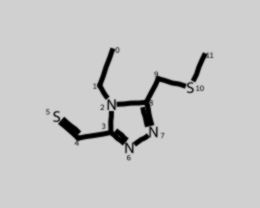 CCn1c(C=S)nnc1CSC